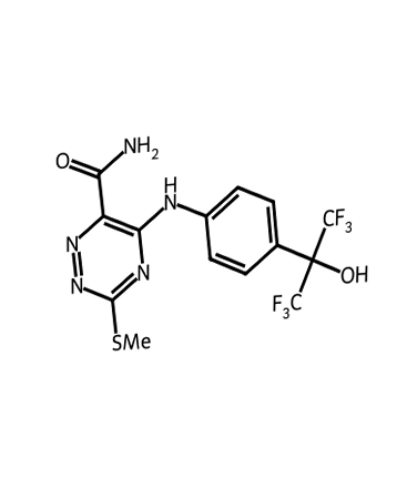 CSc1nnc(C(N)=O)c(Nc2ccc(C(O)(C(F)(F)F)C(F)(F)F)cc2)n1